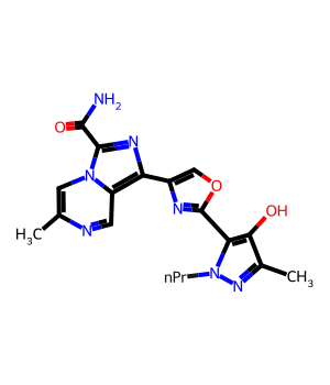 CCCn1nc(C)c(O)c1-c1nc(-c2nc(C(N)=O)n3cc(C)ncc23)co1